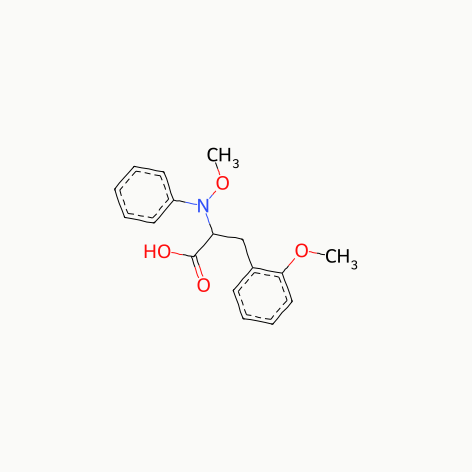 COc1ccccc1CC(C(=O)O)N(OC)c1ccccc1